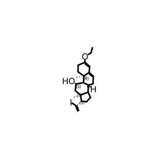 C=C(I)[C@H]1CCC2[C@@H]3CC=C4C=C(OCC)CC[C@]4(C)C3[C@@H](O)C[C@@]21C